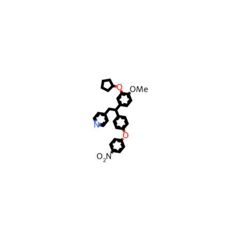 COc1ccc(C(Cc2ccncc2)c2ccc(Oc3ccc([N+](=O)[O-])cc3)cc2)cc1OC1CCCC1